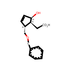 O=C(O)C[C@@H]1[C@H](O)C=C[C@H]1COCc1ccccc1